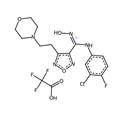 O/N=C(/Nc1ccc(F)c(Cl)c1)c1nonc1CCN1CCOCC1.O=C(O)C(F)(F)F